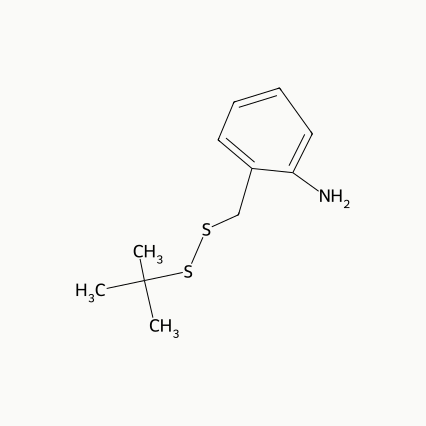 CC(C)(C)SSCc1ccccc1N